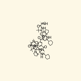 CN[C@@H](C)C(=O)N[C@H](C(=O)N1CCC[C@H]1C(=O)N[C@H](CNC(=O)c1cc(N)cc(C(=O)NC[C@@H](NC(=O)[C@@H]2CCCN2C(=O)[C@@H](NC(=O)[C@H](C)N(C)Cl)C(C)(C)C)C2CCCCC2)c1)C1CCCCC1)C(C)(C)C